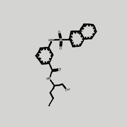 CCCC(CO)NC(=O)c1cccc(NS(=O)(=O)c2ccc3ccccc3c2)c1